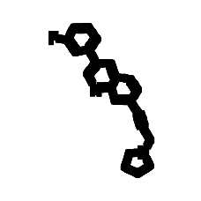 Fc1cccc(-c2cnc3cc(C#CCN4CCCC4)ccc3c2)c1